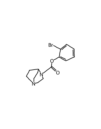 O=C(Oc1ccccc1Br)N1CCN2CCC1CC2